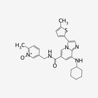 Cc1ccc(-c2cnc3c(NC4CCCCC4)cc(C(=O)NCc4ccc(C)[n+]([O-])c4)cn23)s1